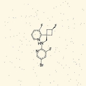 Fc1cc(Br)cnc1NC[C@]1(c2ncccc2F)C[C@H](F)C1